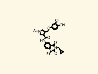 CCn1c(=O)n(CC2CC2)c(=O)c2cc(NC(=O)C3CN(C(C)=O)CC3COc3ccc(C#N)c(Cl)c3)ccc21